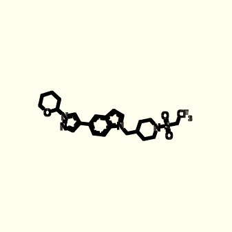 O=S(=O)(CC(F)(F)F)N1CCC(Cn2ccc3cc(-c4cnn(C5CCCCO5)c4)ccc32)CC1